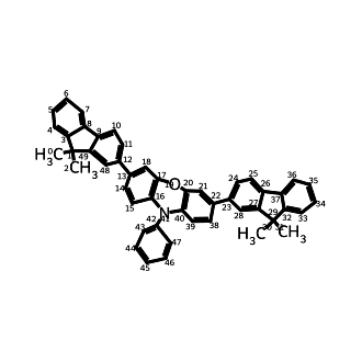 CC1(C)c2ccccc2-c2ccc(-c3ccc4c(c3)Oc3cc(-c5ccc6c(c5)C(C)(C)c5ccccc5-6)ccc3N4c3ccccc3)cc21